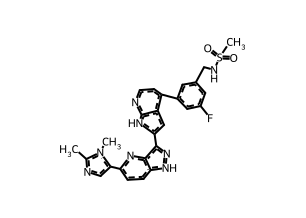 Cc1ncc(-c2ccc3[nH]nc(-c4cc5c(-c6cc(F)cc(CNS(C)(=O)=O)c6)ccnc5[nH]4)c3n2)n1C